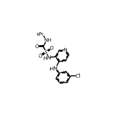 CCCNC(=O)S(=O)(=O)Nc1cnccc1Nc1cccc(Cl)c1